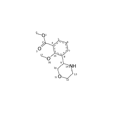 COC(=O)c1cccc(C2COCCN2)c1OC